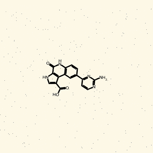 Nc1nccc(-c2ccc3[nH]c(=O)c4[nH]cc(C(=O)O)c4c3c2)n1